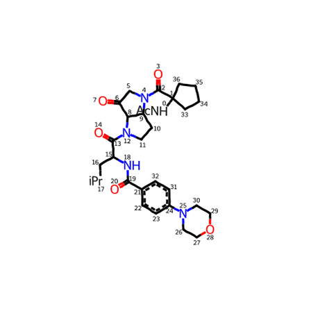 CC(=O)NC1(C(=O)N2CC(=O)C3C2CCN3C(=O)C(CC(C)C)NC(=O)c2ccc(N3CCOCC3)cc2)CCCC1